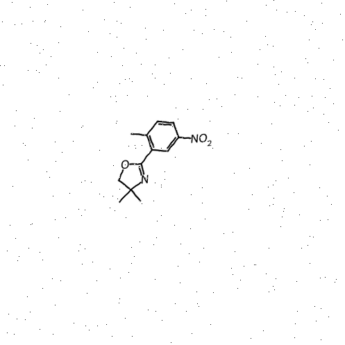 Cc1ccc([N+](=O)[O-])cc1C1=NC(C)(C)CO1